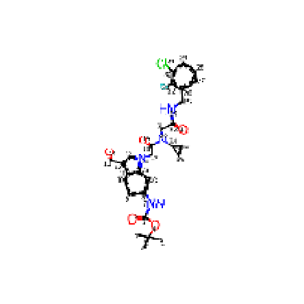 CC(C)(C)OC(=O)Nc1ccc2c(C=O)cn(CC(=O)N(CC(=O)NCc3cccc(Cl)c3F)C3CC3)c2c1